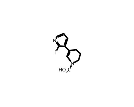 O=C(O)N1C=C(c2cccnc2F)CCC1